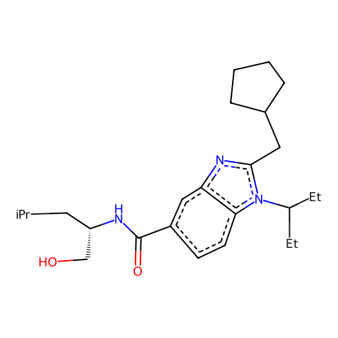 CCC(CC)n1c(CC2CCCC2)nc2cc(C(=O)N[C@H](CO)CC(C)C)ccc21